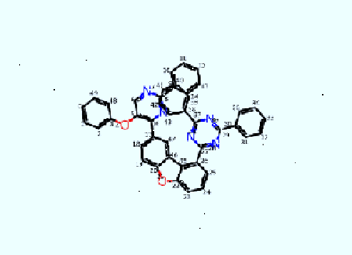 c1ccc(Oc2cnc(-c3ccccc3)nc2-c2ccc3oc4cccc(-c5nc(-c6ccccc6)nc(-c6ccccc6)n5)c4c3c2)cc1